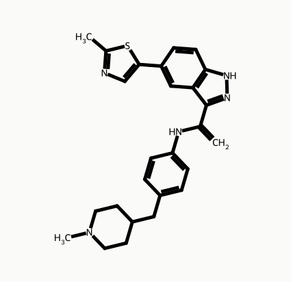 C=C(Nc1ccc(CC2CCN(C)CC2)cc1)c1n[nH]c2ccc(-c3cnc(C)s3)cc12